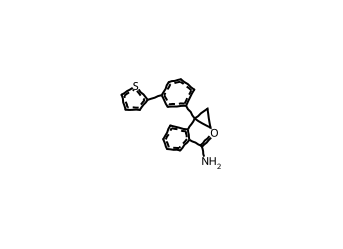 NC(=O)c1ccccc1C1(c2cccc(-c3cccs3)c2)CC1